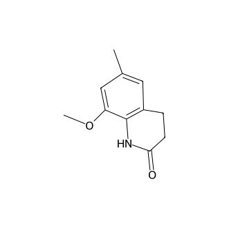 COc1cc(C)cc2c1NC(=O)CC2